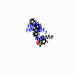 COc1cccc(F)c1C(=O)NCc1ccc(C(=N)c2c(N)ncnc2NC2CCCC2)cc1